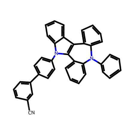 N#Cc1cccc(-c2ccc(-n3c4c(c5ccccc53)-c3ccccc3N(c3ccccc3)c3ccccc3-4)cc2)c1